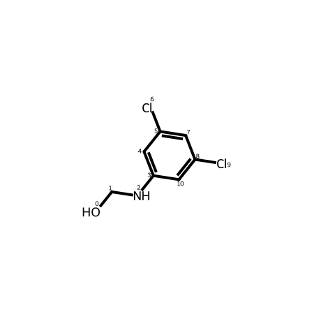 OCNc1cc(Cl)cc(Cl)c1